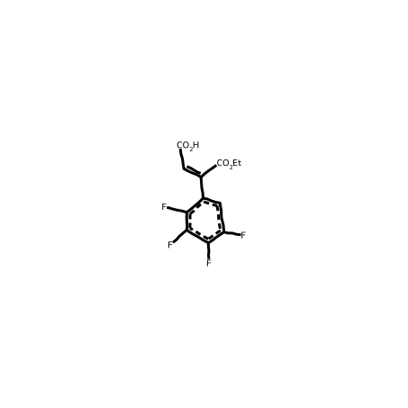 CCOC(=O)/C(=C\C(=O)O)c1cc(F)c(F)c(F)c1F